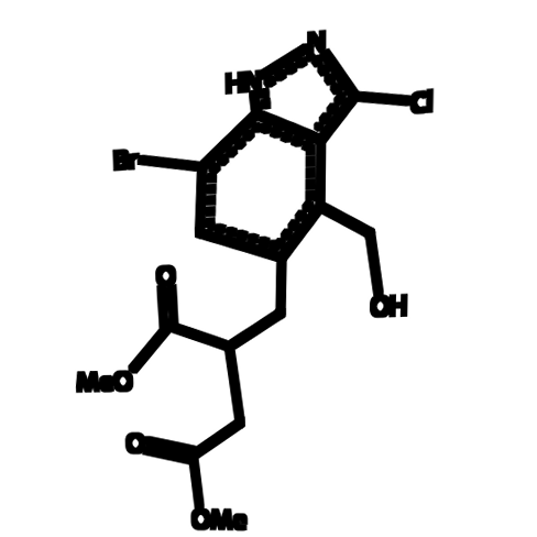 COC(=O)CC(Cc1cc(Br)c2[nH]nc(Cl)c2c1CO)C(=O)OC